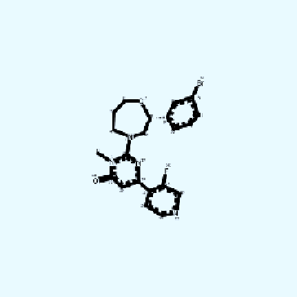 Cn1c(N2CCCO[C@H](c3cccc(Br)c3)C2)nc(-c2ccncc2F)cc1=O